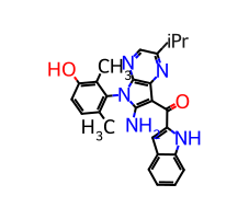 Cc1ccc(O)c(C)c1-n1c(N)c(C(=O)c2cc3ccccc3[nH]2)c2nc(C(C)C)cnc21